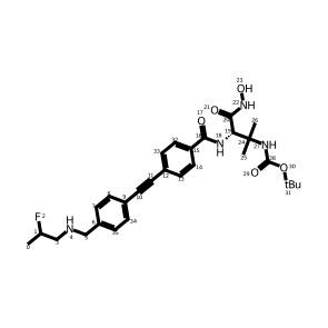 CC(F)CNCc1ccc(C#Cc2ccc(C(=O)N[C@H](C(=O)NO)C(C)(C)NC(=O)OC(C)(C)C)cc2)cc1